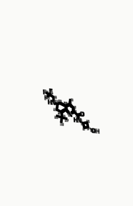 Cc1cc(C(=O)N[C@H]2C[C@@H](O)C2)nc2c1=CC(NCC(F)(F)F)CC=2C(C)(C)C